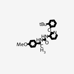 COc1ccc([C@H](C)NC(=O)Nc2cccnc2Oc2ccccc2C(C)(C)C)cc1